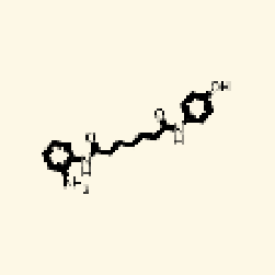 Nc1ccccc1NC(=O)CCCCCC(=O)Nc1ccc(O)cc1